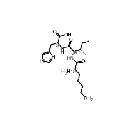 CC[C@H](C)[C@H](NC(=O)[C@@H](N)CCCCN)C(=O)N[C@@H](Cc1c[nH]cn1)C(=O)O